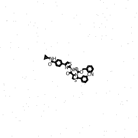 N#Cc1cccc(C2SCC(C(=O)Nc3nc(-c4ccc(C(=O)NC5CC5)cc4)cs3)N2C(=O)OCc2ccccc2)c1